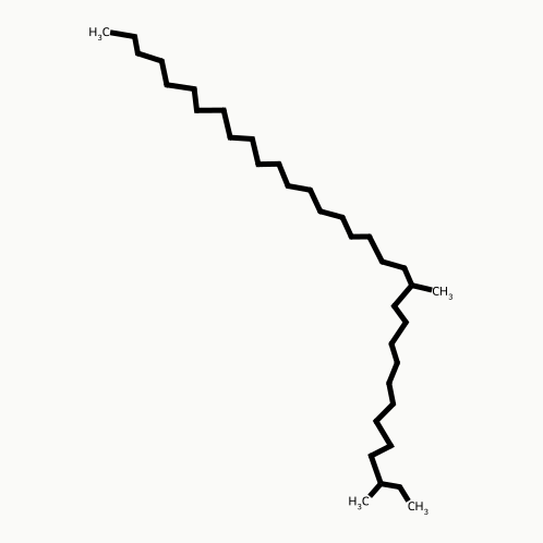 CCCCCCCCCCCCCCCCCCCCC(C)CCCCCCCCCC(C)CC